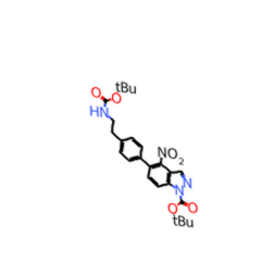 CC(C)(C)OC(=O)NCCc1ccc(-c2ccc3c(cnn3C(=O)OC(C)(C)C)c2[N+](=O)[O-])cc1